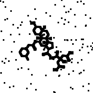 CC(=O)[C@H]1CC[C@H]2[C@@H]3CC[C@H]4C[C@H](O)CC[C@]4(C)[C@H]3[C@@H](OC(=O)CN3CCCC(C)C3)C[C@]12C.O=C(O)CC(O)(CC(=O)O)C(=O)O